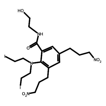 O=C(NCCO)c1cc(CCC[N+](=O)[O-])cc(CCC[N+](=O)[O-])c1N(CCI)CCI